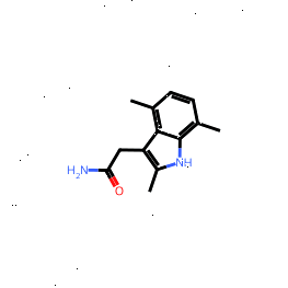 Cc1[nH]c2c(C)ccc(C)c2c1CC(N)=O